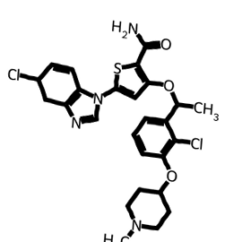 CC(Oc1cc(-n2cnc3c2C=CC(Cl)C3)sc1C(N)=O)c1cccc(OC2CCN(C)CC2)c1Cl